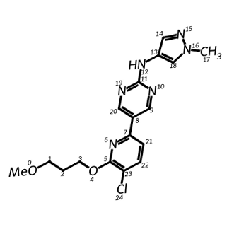 COCCCOc1nc(-c2cnc(Nc3cnn(C)c3)nc2)ccc1Cl